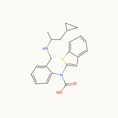 CC(CC1CC1)NCc1ccccc1N(C(=O)O)c1cc2ccccc2s1